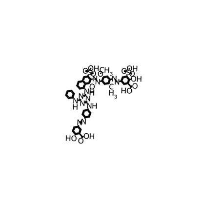 COc1cc(N=Nc2cc(C(=O)O)c(O)c(S(=O)(=O)O)c2)c(C)cc1N=Nc1c(S(=O)(=O)O)cc2cccc(Nc3nc(Nc4ccccc4)nc(Nc4ccc(N=Nc5ccc(O)c(C(=O)O)c5)cc4)n3)c2c1O